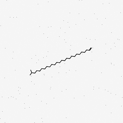 [CH]=CCCCCCCCCCCCCCCCCCCCCCCC(C)C